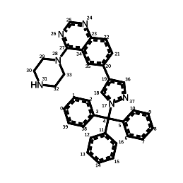 c1ccc(C(c2ccccc2)(c2ccccc2)n2cc(-c3ccc4ncnc(N5CCNCC5)c4c3)cn2)cc1